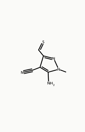 Cn1nc(C=S)c(C#N)c1N